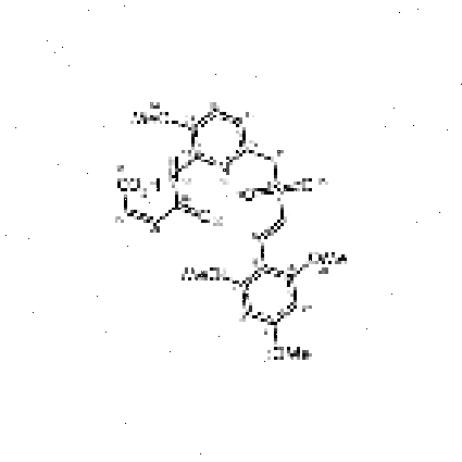 COc1cc(OC)c(/C=C/S(=O)(=O)Cc2ccc(OC)c(NC(=O)/C=C\C(=O)O)n2)c(OC)c1